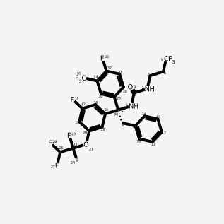 O=C(NCCC(F)(F)F)N[C@@](Cc1ccccc1)(c1cc(F)cc(OC(F)(F)C(F)F)c1)c1ccc(F)c(C(F)(F)F)c1